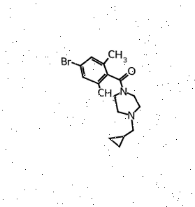 Cc1cc(Br)cc(C)c1C(=O)N1CCN(CC2CC2)CC1